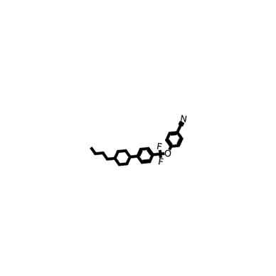 CCCCC1CCC(c2ccc(C(F)(F)Oc3ccc(C#N)cc3)cc2)CC1